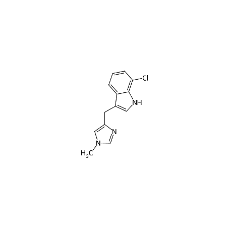 Cn1cnc(Cc2c[nH]c3c(Cl)cccc23)c1